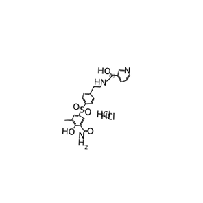 Cc1cc(S(=O)(=O)c2ccc(CCNC[C@H](O)c3cccnc3)cc2)cc(C(N)=O)c1O.Cl.Cl